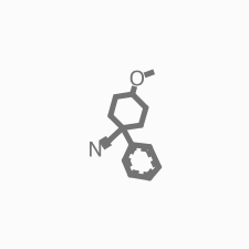 COC1CCC(C#N)(c2ccccc2)CC1